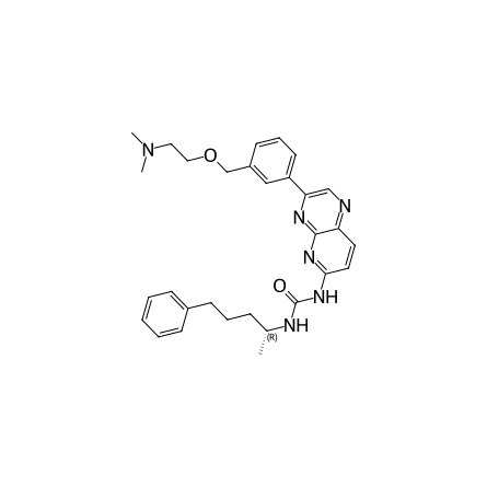 C[C@H](CCCc1ccccc1)NC(=O)Nc1ccc2ncc(-c3cccc(COCCN(C)C)c3)nc2n1